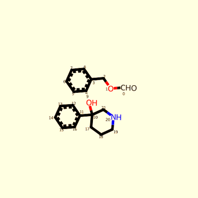 O=COCc1ccccc1.OC1(c2ccccc2)CCCNC1